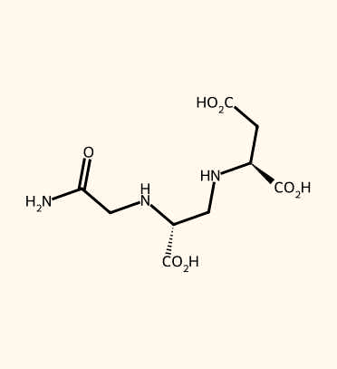 NC(=O)CN[C@H](CN[C@@H](CC(=O)O)C(=O)O)C(=O)O